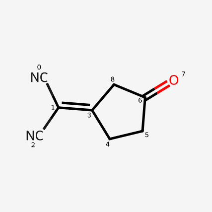 N#CC(C#N)=C1CCC(=O)C1